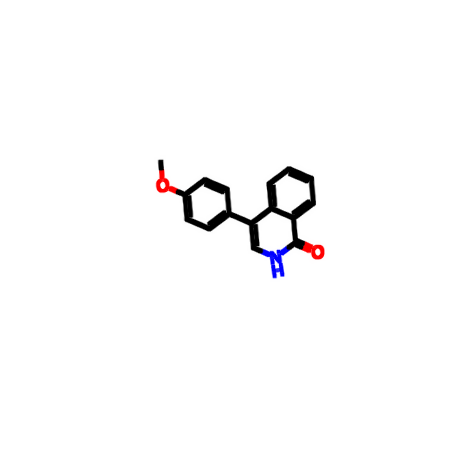 COc1ccc(-c2c[nH]c(=O)c3ccccc23)cc1